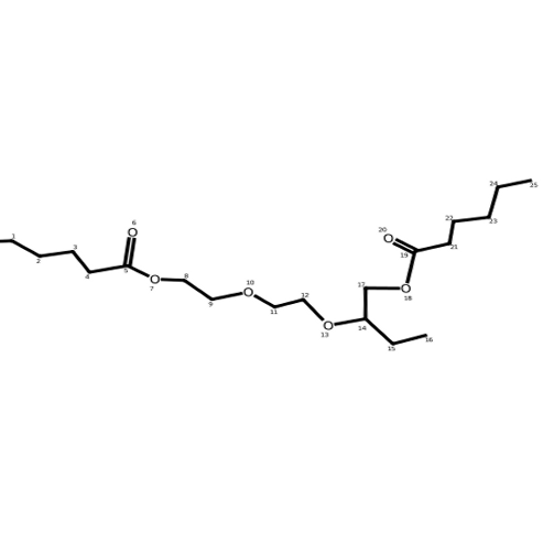 CCCCCC(=O)OCCOCCOC(CC)COC(=O)CCCCC